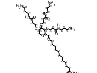 COC(=O)CCCCCCCCCCCOC[C@H]1OC[C@H](OCCC(=O)NCCCN)[C@@H](OCCC(=O)NCCCN)[C@@H]1OCCC(=O)NCCCN